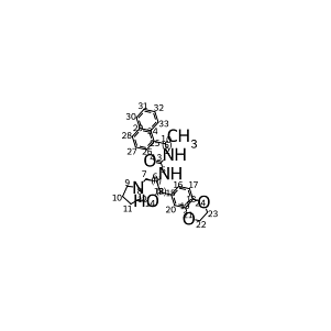 C[C@H](NC(=O)N[C@H](CN1CCCC1)[C@H](O)c1ccc2c(c1)OCCO2)c1cccc2ccccc12